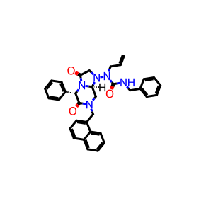 C=CCN(C(=O)NCc1ccccc1)N1CC(=O)N2[C@@H](c3ccccc3)C(=O)N(Cc3cccc4ccccc34)C[C@@H]21